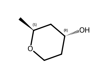 C[C@H]1C[C@H](O)CCO1